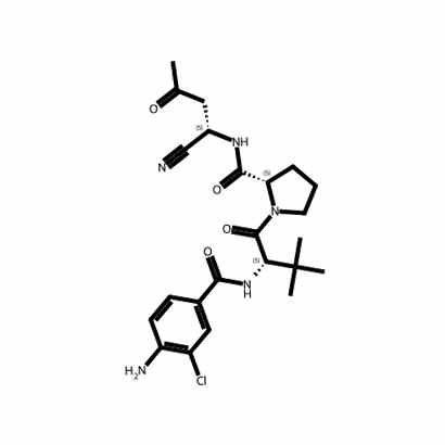 CC(=O)C[C@@H](C#N)NC(=O)[C@@H]1CCCN1C(=O)[C@@H](NC(=O)c1ccc(N)c(Cl)c1)C(C)(C)C